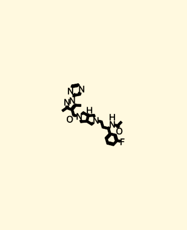 CC(=O)NC(CCN1CC2CN(C(=O)c3c(C)nn(-c4cnccn4)c3C)C[C@@H]2C1)c1cccc(F)c1